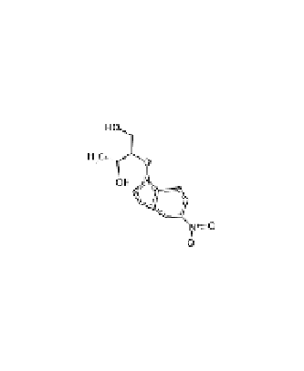 C[C@@H](O)[C@@H](CO)On1ccc2cc([N+](=O)[O-])ccc21